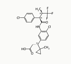 C[C@H]([C@@H](C(=O)Nc1cc([C@@H](CC(=O)O)C2(C)CC2)ccc1Cl)c1ccc(Cl)cc1)C(F)(F)F